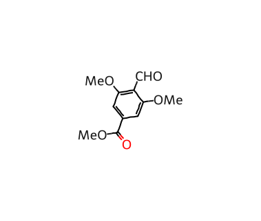 COC(=O)c1cc(OC)c(C=O)c(OC)c1